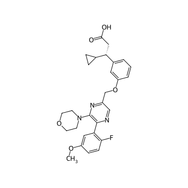 COc1ccc(F)c(-c2ncc(COc3cccc([C@@H](CC(=O)O)C4CC4)c3)nc2N2CCOCC2)c1